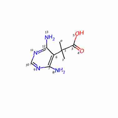 CC(C)(C(=O)O)c1c(N)n[c]nc1N